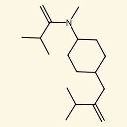 C=C(CC1CCC(N(C)C(=C)C(C)C)CC1)C(C)C